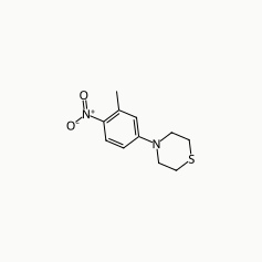 Cc1cc(N2CCSCC2)ccc1[N+](=O)[O-]